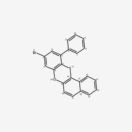 Brc1cc2c(c(-c3ccccc3)c1)Sc1c(ccc3ccccc13)O2